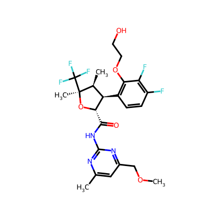 COCc1cc(C)nc(NC(=O)[C@@H]2O[C@@](C)(C(F)(F)F)[C@@H](C)[C@H]2c2ccc(F)c(F)c2OCCO)n1